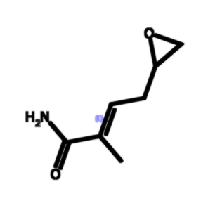 C/C(=C\CC1CO1)C(N)=O